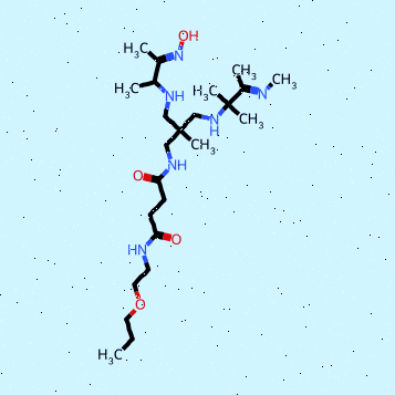 CCCOCCNC(=O)CCC(=O)NCC(C)(CNC(C)/C(C)=N/O)CNC(C)(C)/C(C)=N/C